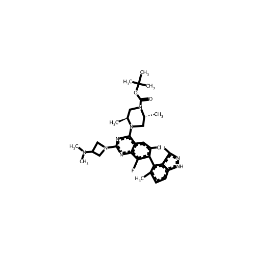 Cc1ccc2[nH]nc(I)c2c1-c1c(Cl)cc2c(N3C[C@@H](C)N(C(=O)OC(C)(C)C)C[C@@H]3C)nc(N3CC(N(C)C)C3)nc2c1F